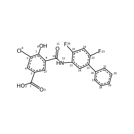 O=C(O)c1cc(Cl)c(O)c(C(=O)Nc2cc(-c3ccccc3)c(F)cc2F)c1